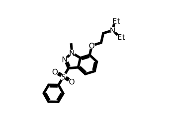 CCN(CC)CCOc1cccc2c(S(=O)(=O)c3ccccc3)nn(C)c12